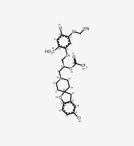 N#CCOc1cc(OC[C@H](CN2CCC3(CC2)Cc2cc(Cl)ccc2O3)OC(=O)C(F)(F)F)c(C(=O)O)cc1Cl